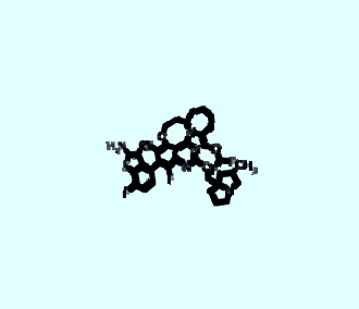 C[C@H]1CN2CCCC2(COc2nc3c4c(c(Cl)c(-c5ccc(F)c6sc(N)c(C#N)c56)c(F)c4n2)OCCC2CCCCC(COC(F)F)N32)C1